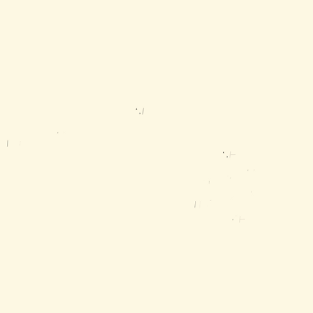 CCOc1cccc(NCC2CCC(NS(=O)(=O)C(C)(C)C)CC2)c1